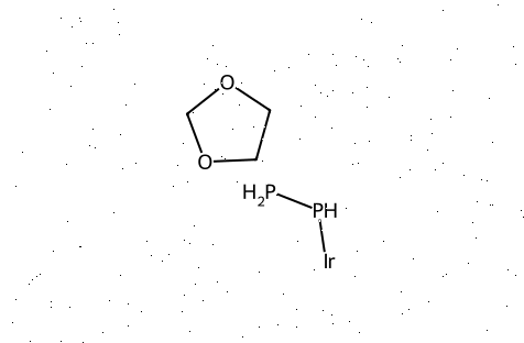 C1COCO1.P[PH][Ir]